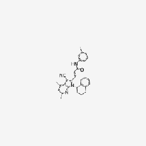 Cc1cccc(NC(=O)C=Cc2c(C#N)c3c(C)cc(C)nc3n2[C@H]2CCCc3ccccc32)c1